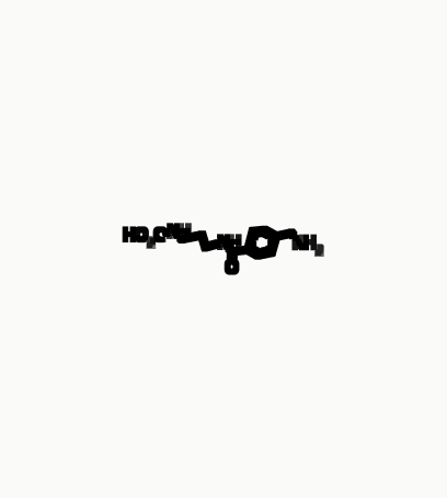 NCc1ccc(C(=O)NCCCNC(=O)O)cc1